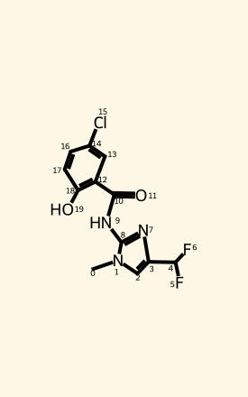 Cn1cc(C(F)F)nc1NC(=O)c1cc(Cl)ccc1O